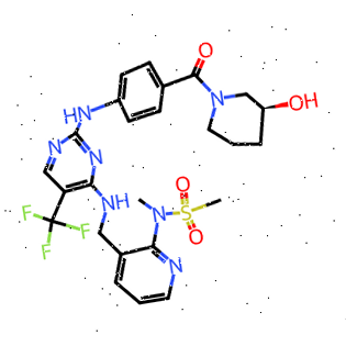 CN(c1ncccc1CNc1nc(Nc2ccc(C(=O)N3CCC[C@H](O)C3)cc2)ncc1C(F)(F)F)S(C)(=O)=O